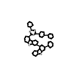 c1ccc(-c2ccc(-c3nc(-c4ccccc4)nc(-c4cccc5oc6cc(-c7cc(-c8ccccc8)cc8sc9ccccc9c78)ccc6c45)n3)cc2)cc1